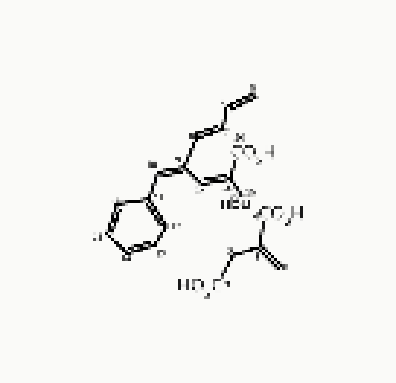 C=C(CC(=O)O)C(=O)O.C=CC=CC(=Cc1ccccc1)C=C(CCCC)C(=O)O